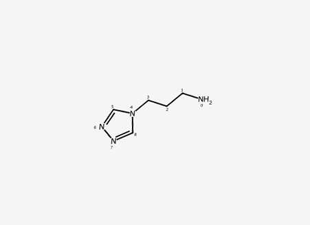 NCCCn1cnnc1